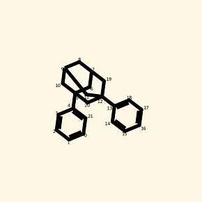 [c]1cc[c]c(C23CC4CC(C2)CC(c2[c]cc[c]c2)(C4)C3)c1